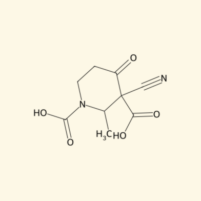 CC1N(C(=O)O)CCC(=O)C1(C#N)C(=O)O